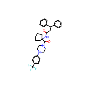 O=C(CC(c1ccccc1)c1ccccc1)NC1(C(=O)N2CCN(c3ccc(C(F)(F)F)cc3)CC2)CCCCC1